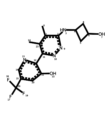 Cc1c(NC2CC(O)C2)nnc(-c2ncc(C(F)(F)F)cc2O)c1C